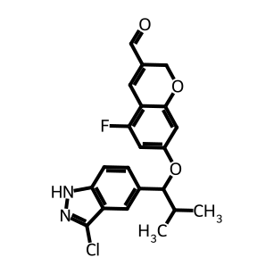 CC(C)C(Oc1cc(F)c2c(c1)OCC(C=O)=C2)c1ccc2[nH]nc(Cl)c2c1